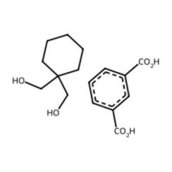 O=C(O)c1cccc(C(=O)O)c1.OCC1(CO)CCCCC1